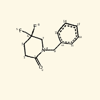 O=C1CCC(F)(F)CN1Cc1ccccc1